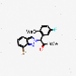 COC(=O)C(c1cc(F)ccc1OC)n1cc2cccc(Br)c2n1